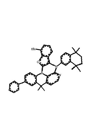 CC(C)(C)c1cccc2c3c(oc12)B1c2ccc(-c4ccccc4)cc2C(C)(C)c2ccnc(c21)N3c1ccc2c(c1)C(C)(C)CCC2(C)C